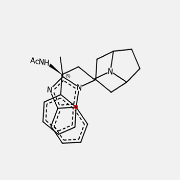 CC(=O)N[C@@H](CCN1C2CCC1CC(n1c(C)nc3ccccc31)C2)c1ccccc1